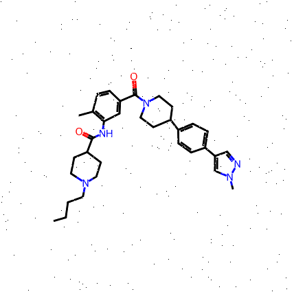 CCCCN1CCC(C(=O)Nc2cc(C(=O)N3CCC(c4ccc(-c5cnn(C)c5)cc4)CC3)ccc2C)CC1